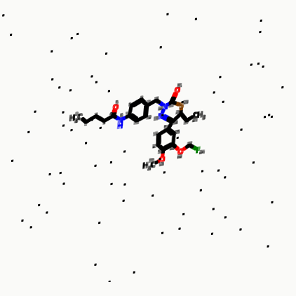 CCCCC(=O)Nc1ccc(CN2N=C(c3ccc(OC)c(OCF)c3)C(CC)SC2=O)cc1